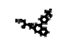 C=CC(=O)NCC1Cc2ccccc2N([C@H]2CC[C@H](C(F)(F)F)CC2)C1